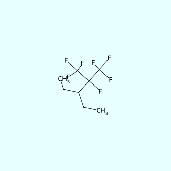 CCC(CC)C(F)(C(F)(F)F)C(F)(F)F